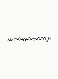 COCCOCCOCCOCCOCCOCC(=O)O